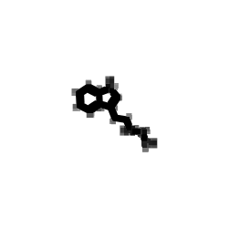 OONCCc1c[nH]c2ccccc12